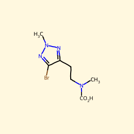 CN(CCc1nn(C)nc1Br)C(=O)O